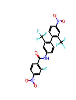 O=C(Nc1ccc(-c2ccc([N+](=O)[O-])cc2C(F)(F)F)c(C(F)(F)F)c1)c1ccc([N+](=O)[O-])cc1F